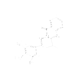 CC(C)c1nc2ccccc2c(=O)n1/N=C/c1cc(Br)c(O)c(Br)c1